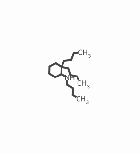 CCCCN[C]1CCCCC1(CCCC)CCCC